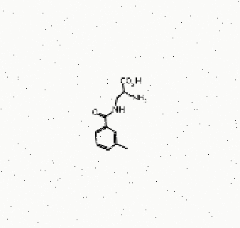 Cc1cccc(C(=O)NCC(N)C(=O)O)c1